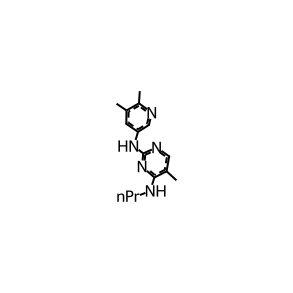 CCCNc1nc(Nc2cnc(C)c(C)c2)ncc1C